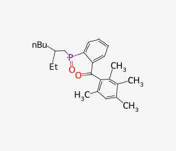 CCCCC(CC)C[P](=O)c1ccccc1C(=O)c1c(C)cc(C)c(C)c1C